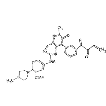 C=CC(=O)Nc1cccc(-n2c(=O)c(C(F)(F)F)nc3cnc(Nc4ccc(N5CCN(C)CC5)c(OC)c4)nc32)c1